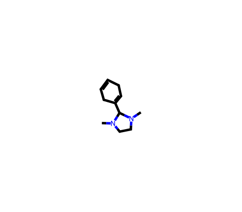 CN1CCN(C)C1C1=CCC=CC1